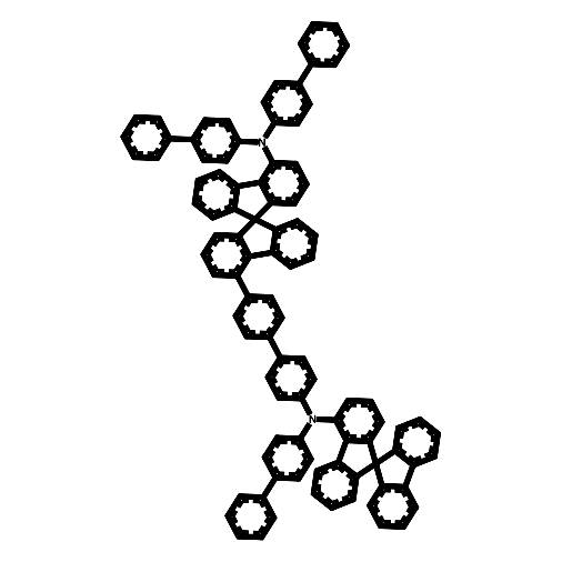 c1ccc(-c2ccc(N(c3ccc(-c4ccc(-c5cccc6c5-c5ccccc5C65c6ccccc6-c6c(N(c7ccc(-c8ccccc8)cc7)c7ccc(-c8ccccc8)cc7)cccc65)cc4)cc3)c3cccc4c3-c3ccccc3C43c4ccccc4-c4ccccc43)cc2)cc1